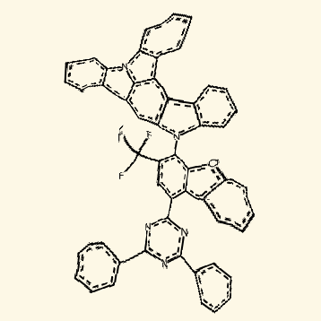 FC(F)(F)c1cc(-c2nc(-c3ccccc3)nc(-c3ccccc3)n2)c2c(oc3ccccc32)c1-n1c2ccccc2c2c3c4ccccc4n4c5ccccc5c(cc21)c34